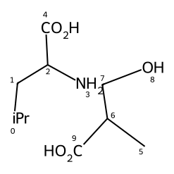 CC(C)CC(N)C(=O)O.CC(CO)C(=O)O